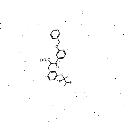 CCOC(=O)C(Cc1cccc(OC(F)(F)C(F)F)c1)C(=O)c1cccc(OCc2ccccc2)c1